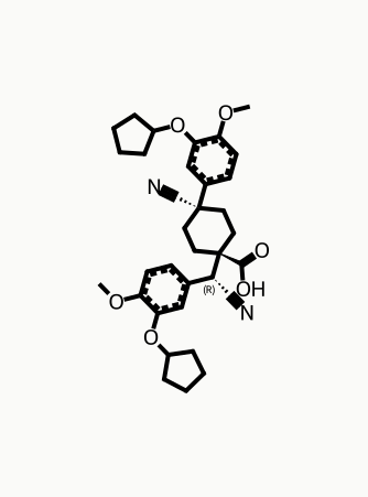 COc1ccc([C@@H](C#N)[C@]2(C(=O)O)CC[C@@](C#N)(c3ccc(OC)c(OC4CCCC4)c3)CC2)cc1OC1CCCC1